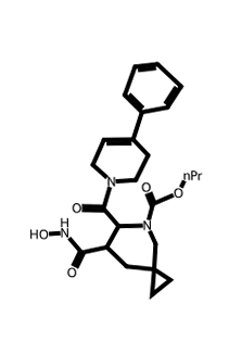 CCCOC(=O)N1CC2(CC2)CC(C(=O)NO)C1C(=O)N1CC=C(c2ccccc2)CC1